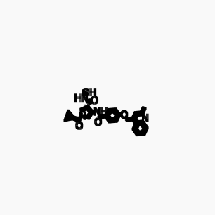 Cc1cc(COc2ccc(C(=O)NC3CN(C(=O)C4CC4)C[C@@H]3C(=O)NO)cc2)c2ccccc2n1